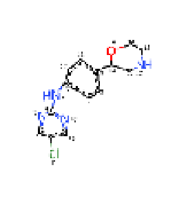 Clc1cnc(Nc2ccc(C3CNCCO3)cc2)nc1